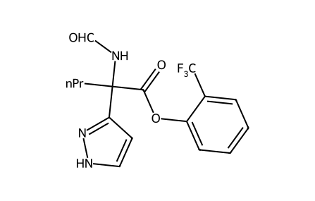 CCCC(NC=O)(C(=O)Oc1ccccc1C(F)(F)F)c1cc[nH]n1